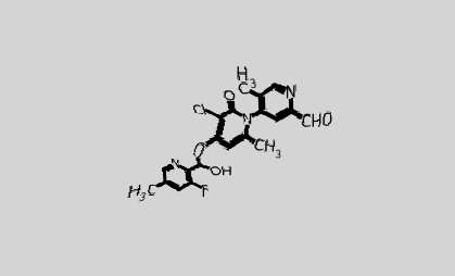 Cc1cnc(C(O)Oc2cc(C)n(-c3cc(C=O)ncc3C)c(=O)c2Cl)c(F)c1